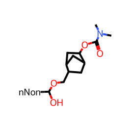 CCCCCCCCCC(O)OCC1CC2CC1CC2OC(=O)N(C)C